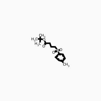 Cc1ccc(S(=O)(=O)CCCC(=O)OC(C)(C)C)cc1